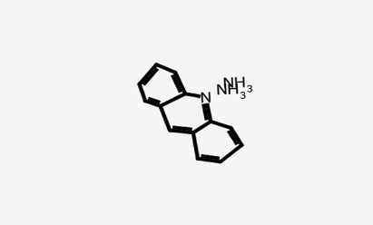 N.N.c1ccc2nc3ccccc3cc2c1